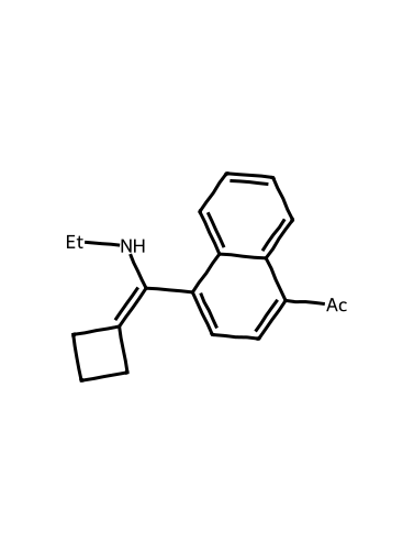 CCNC(=C1CCC1)c1ccc(C(C)=O)c2ccccc12